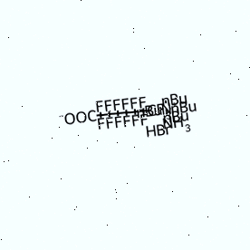 Br.CCCC[N+](CCCC)(CCCC)CCCC.N.O=C([O-])C(F)(F)C(F)(F)C(F)(F)C(F)(F)C(F)(F)C(F)(F)C(F)(F)F